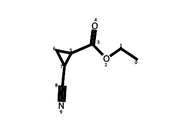 CCOC(=O)C1CC1C#N